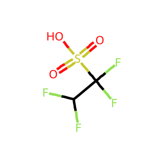 O=S(=O)(O)C(F)(F)C(F)F